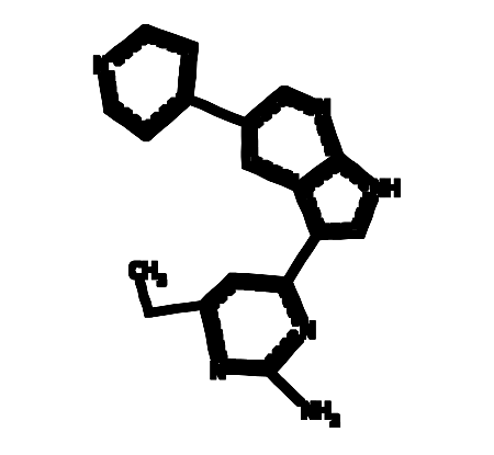 CCc1cc(-c2c[nH]c3ncc(-c4ccncc4)cc23)nc(N)n1